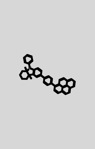 CC12CCCCC1(C)N(c1ccccc1)c1ccc(-c3ccc(-c4ccc5ccc6cccc7ccc4c5c67)cc3)cc12